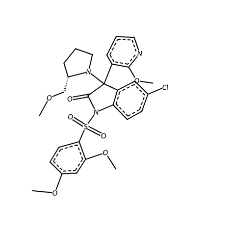 COC[C@@H]1CCCN1C1(c2cccnc2OC)C(=O)N(S(=O)(=O)c2ccc(OC)cc2OC)c2ccc(Cl)cc21